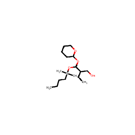 CCCC[Si](C)(C)OC(OC1CCCCO1)C(CC)CO